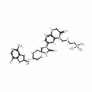 Cc1ncc(F)c2c1CC(N[C@H]1CC[C@]3(CC1)CN(c1cnc4c(n1)N(COCC[Si](C)(C)C)C(=O)CO4)C(=O)O3)C2